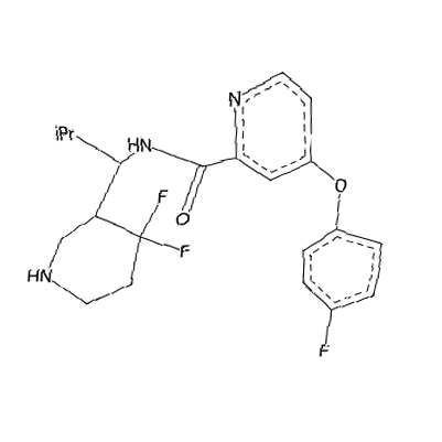 CC(C)C(NC(=O)c1cc(Oc2ccc(F)cc2)ccn1)C1CNCCC1(F)F